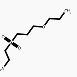 CCCOCCCS(=O)(=O)CCN